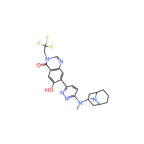 CN(c1ccc(-c2cc3ncn(CC(F)(F)F)c(=O)c3cc2O)nn1)C1CC2CCCC(C1)N2C